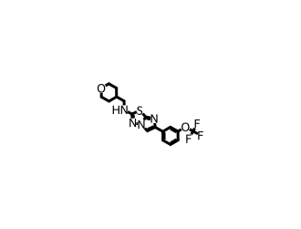 FC(F)(F)Oc1cccc(-c2cn3nc(NCC4CCOCC4)sc3n2)c1